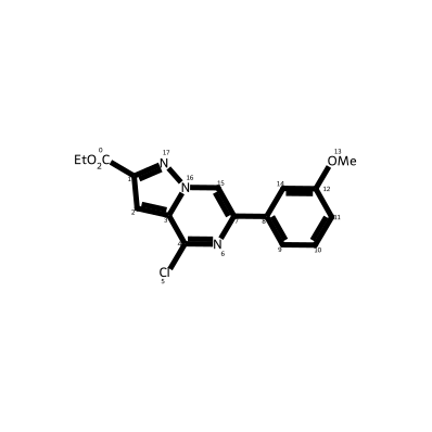 CCOC(=O)c1cc2c(Cl)nc(-c3cccc(OC)c3)cn2n1